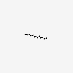 C=CC=CCCCCCCCCCC=C